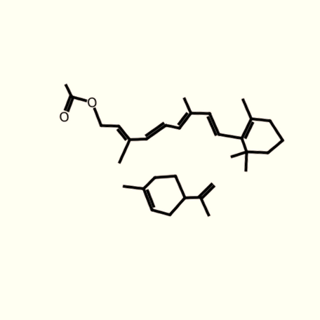 C=C(C)C1CC=C(C)CC1.CC(=O)OCC=C(C)C=CC=C(C)C=CC1=C(C)CCCC1(C)C